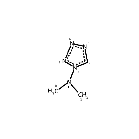 CN(C)n1cnnn1